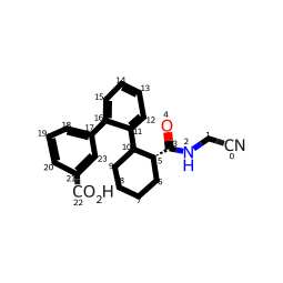 N#CCNC(=O)[C@@H]1CCCCC1c1ccccc1-c1cccc(C(=O)O)c1